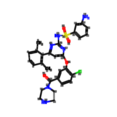 Cc1cccc(C)c1-c1cc(Oc2cc(C(=O)N3CCNCC3)ccc2Cl)nc(NS(=O)(=O)c2cccc(N)c2)n1